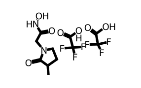 CC1CCN(CC(=O)NO)C1=O.O=C(O)C(F)(F)F.O=C(O)C(F)(F)F